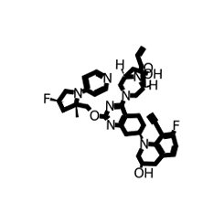 C#Cc1c(F)ccc2c1N([C@@H]1CCc3c(nc(OC[C@]4(C)C[C@@H](F)CN4c4ccncc4)nc3N3C[C@H]4CC(O)[C@@H](C3)N4C(=O)C=C)C1)C[C@H](O)C2